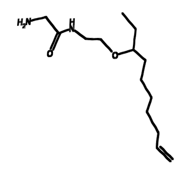 C=CCCCCCC(CC)OCCNC(=O)CN